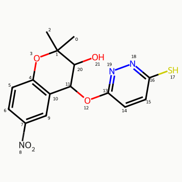 CC1(C)Oc2ccc([N+](=O)[O-])cc2C(Oc2ccc(S)nn2)C1O